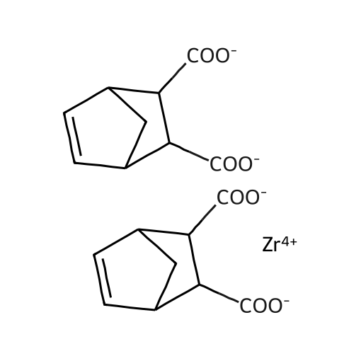 O=C([O-])C1C2C=CC(C2)C1C(=O)[O-].O=C([O-])C1C2C=CC(C2)C1C(=O)[O-].[Zr+4]